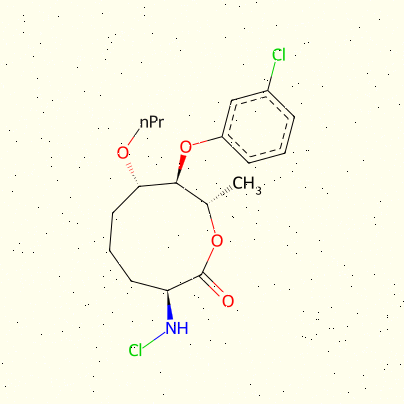 CCCO[C@H]1CCC[C@H](NCl)C(=O)O[C@@H](C)[C@@H]1Oc1cccc(Cl)c1